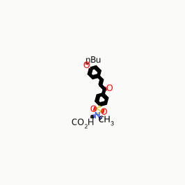 CCCCOc1ccc(/C=C/C(=O)c2ccc(S(=O)(=O)N(C)CC(=O)O)cc2)cc1